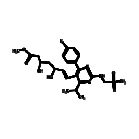 COC(=O)CC(O)CC(O)/C=C/c1c(-c2ccc(F)cc2)nc(NCS(C)(=O)=O)nc1C(C)C